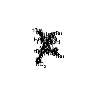 C[C@@H]([C@@H](O)[C@H](OCCO)O[C@@H]1[C@@H](O)[C@H](O[C@H]2OC(CNC(=O)OCc3ccc([N+](=O)[O-])cc3)=CC[C@H]2NC(=O)C2CCCN2C(=O)OC(C)(C)C)[C@@H](NC(=O)OC(C)(C)C)C[C@H]1NC(=O)[C@@H](O)CCNC(=O)OC(C)(C)C)N(C)C(=O)OC(C)(C)C